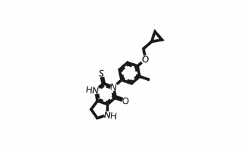 Cc1cc(-n2c(=S)[nH]c3c(c2=O)NCC3)ccc1OCC1CC1